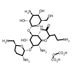 NCCC(O)C(=O)N[C@@H]1C[C@H](N)[C@@H](O[C@H]2O[C@H](CN)CC[C@H]2N)[C@H](O)[C@H]1O[C@H]1O[C@H](CO)[C@@H](O)[C@H](N)[C@H]1O.O=C(O)OC(=O)O